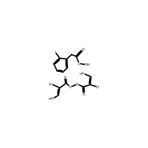 CCCC=C(CC)C(=O)OOC(=O)C(=CCCC)CC.O=C(Cc1ccccc1I)OO